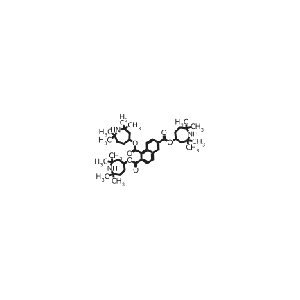 CC1(C)CCC(OC(=O)c2ccc3c(C(=O)OC4CCC(C)(C)NC(C)(C)C4)c(C(=O)OC4CCC(C)(C)NC(C)(C)C4)ccc3c2)CC(C)(C)N1